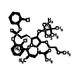 COCCO[C@@H]1[C@H](O[Si](C)(C)C(C)(C)C)[C@@H](CCP(=O)(Oc2ccccc2Cl)Oc2ccccc2Cl)O[C@H]1N(/C=C(/C)C(C)=O)C(C)=O